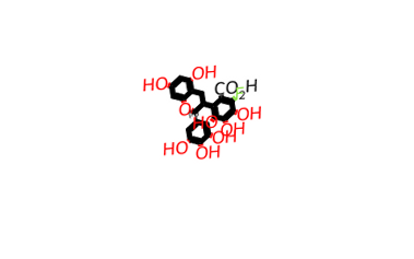 O=C(O)c1c(F)c(O)c(O)c(O)c1C1Cc2c(O)cc(O)cc2O[C@H]1c1cc(O)c(O)c(O)c1